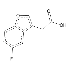 O=C(O)Cc1coc2ccc(F)cc12